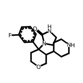 O=C1NCCN1C1(c2cccc(F)c2)CCOCC1C1CCNCC1